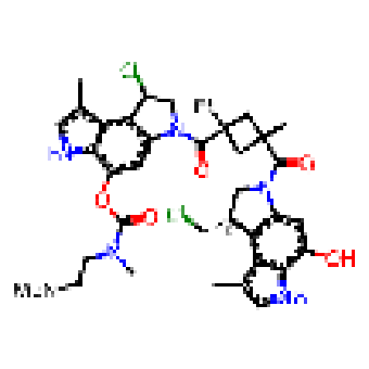 CCC1(C(=O)N2CC(Cl)c3c2cc(OC(=O)N(C)CCNC)c2[nH]cc(C)c32)CC(C)(C(=O)N2C[C@@H](CCl)c3c2cc(O)c2[nH]cc(C)c32)C1